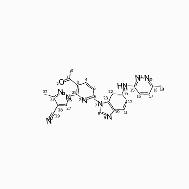 CC(=O)c1ccc(-n2cnc3ccc(Nc4ccc(C)nn4)cc32)nc1-n1cc(C#N)c(C)n1